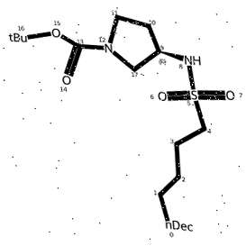 CCCCCCCCCCCCCCS(=O)(=O)N[C@@H]1CCN(C(=O)OC(C)(C)C)C1